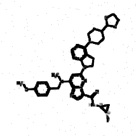 COc1ccc(CN(C)c2cc(N3CCc4c(N5CCC(C6OCCO6)CC5)cccc43)nn3c(C(=O)N[C@@H]4C[C@@H]4F)cnc23)cc1